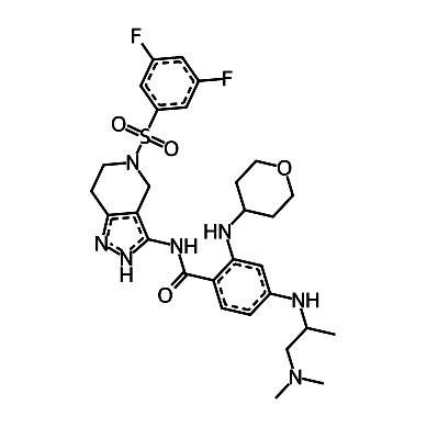 CC(CN(C)C)Nc1ccc(C(=O)Nc2[nH]nc3c2CN(S(=O)(=O)c2cc(F)cc(F)c2)CC3)c(NC2CCOCC2)c1